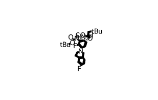 CC(C)(C)CC(=O)Nc1ccc(N2CCc3cc(F)ccc3C2)c(F)c1N(C(=O)O)C(=O)OC(C)(C)C